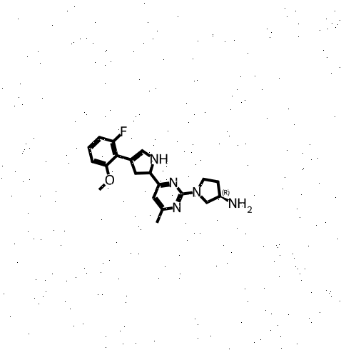 COc1cccc(F)c1C1=CNC(c2cc(C)nc(N3CC[C@@H](N)C3)n2)C1